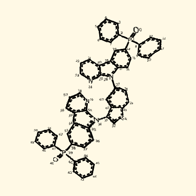 O=P(c1ccccc1)(c1ccccc1)c1ccc2c(c1)c1cccnc1n2-c1ccc2scc(-n3c4ccc(P(=O)(c5ccccc5)c5ccccc5)cc4c4cccnc43)c2c1